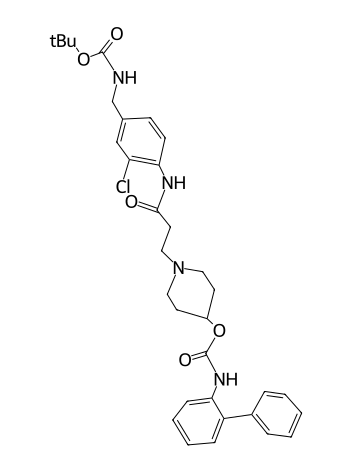 CC(C)(C)OC(=O)NCc1ccc(NC(=O)CCN2CCC(OC(=O)Nc3ccccc3-c3ccccc3)CC2)c(Cl)c1